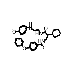 COc1ccc(NCCNC(=O)C(CNC(=O)c2ccc(Oc3ccccc3)cc2)C2CCCCC2)cc1